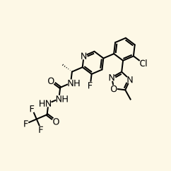 Cc1nc(-c2c(Cl)cccc2-c2cnc([C@@H](C)NC(=O)NNC(=O)C(F)(F)F)c(F)c2)no1